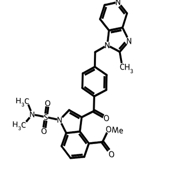 COC(=O)c1cccc2c1c(C(=O)c1ccc(Cn3c(C)nc4cnccc43)cc1)cn2S(=O)(=O)N(C)C